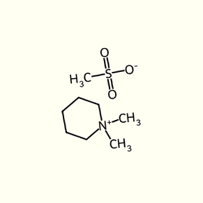 CS(=O)(=O)[O-].C[N+]1(C)CCCCC1